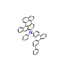 c1ccc(-c2cccc(-c3ccccc3-c3ccc(N(c4ccccc4)c4ccc(-c5cccc6cccc(-c7cccc8ccccc78)c56)cc4)cc3)c2)cc1